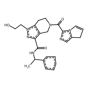 CC(NC(=O)c1nn(CCO)c2c1CN(C(=O)c1ncc3n1C=CC3)CC2)c1ccccc1